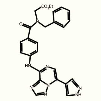 CCOC(=O)CN(Cc1ccccc1)C(=O)c1ccc(Nc2ncc(-c3cn[nH]c3)n3ncnc23)cc1